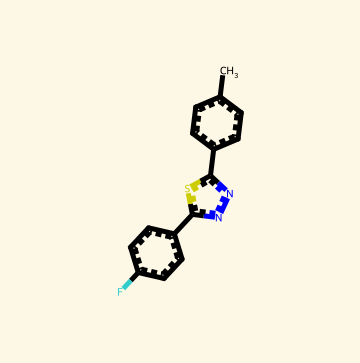 Cc1ccc(-c2nnc(-c3ccc(F)cc3)s2)cc1